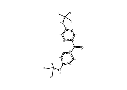 CC(C)(C)Oc1ccc(C(=O)c2ccc(OC(C)(C)C)cc2)cc1